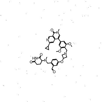 COc1cc(-c2cn(C)c(=O)c3cnc(C4CC4)cc23)cc(OC)c1CN1CC(Oc2ccc(CN(C)C3CCC(=O)NC3=O)c(C=O)c2)C1